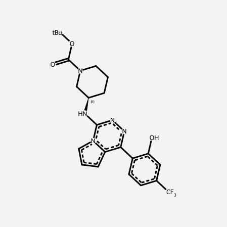 CC(C)(C)OC(=O)N1CCC[C@@H](Nc2nnc(-c3ccc(C(F)(F)F)cc3O)c3cccn23)C1